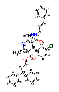 CC1=C(C(=O)NCC=Cc2ccccc2)C(c2cccc(Cl)c2)C(C(=O)OCCC(c2ccccc2)c2ccccc2)=C(C)N1